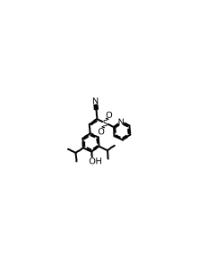 CC(C)c1cc(/C=C(/C#N)S(=O)(=O)c2ccccn2)cc(C(C)C)c1O